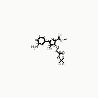 COC(=O)c1sc(-c2cccc(N)c2)c(Cl)c1OCC(=O)OC(C)(C)C